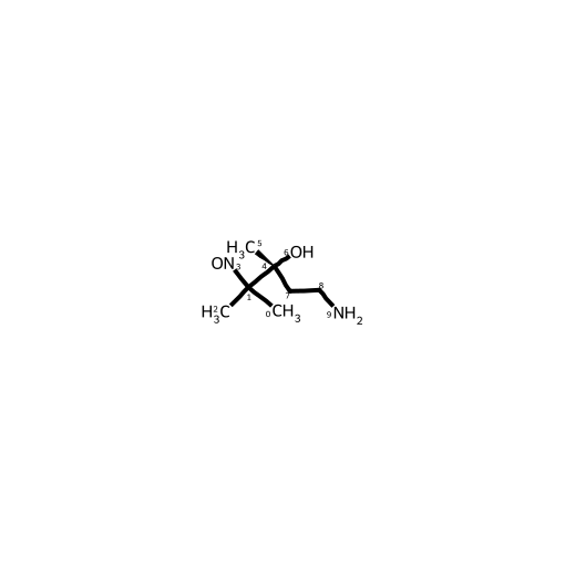 CC(C)(N=O)[C@](C)(O)CCN